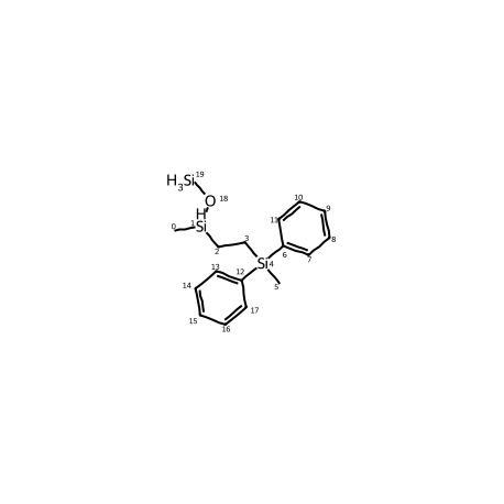 C[SiH](CC[Si](C)(c1ccccc1)c1ccccc1)O[SiH3]